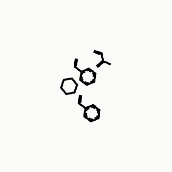 C1CCCCC1.C=CC(=C)C.C=Cc1ccccc1.C=Cc1ccccc1